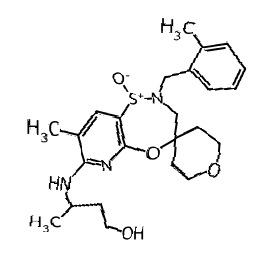 Cc1ccccc1CN1CC2(CCOCC2)Oc2nc(NC(C)CCO)c(C)cc2[S+]1[O-]